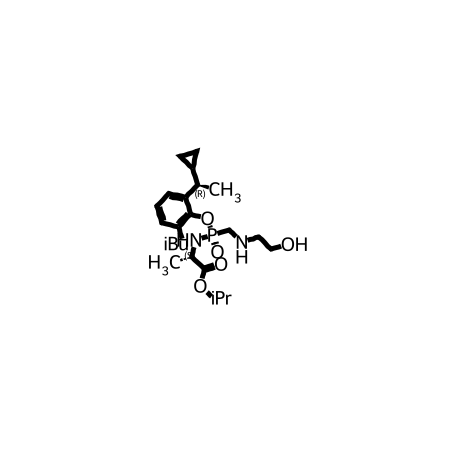 CCC(C)c1cccc([C@H](C)C2CC2)c1OP(=O)(CNCCO)N[C@@H](C)C(=O)OC(C)C